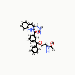 CNC[C@H](CC1CCCCC1)NC(=O)c1cccc([C@@H](OCCNC(C)=O)c2ccccc2)c1